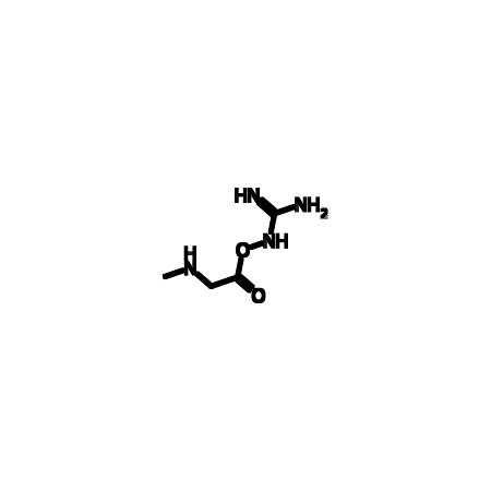 CNCC(=O)ONC(=N)N